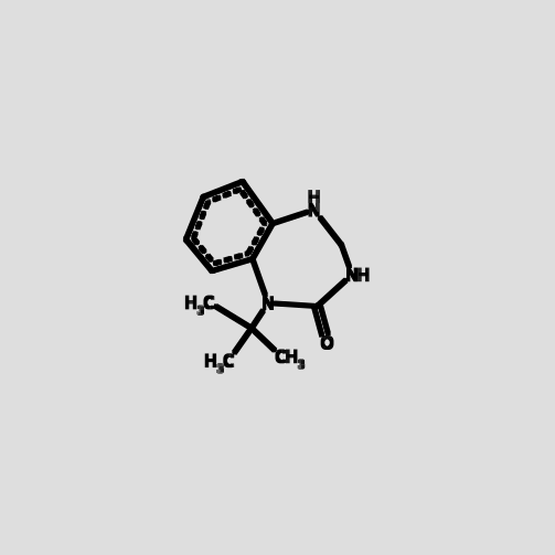 CC(C)(C)N1C(=O)NCNc2ccccc21